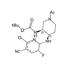 CC(=O)N1CC[C@@H](Nc2nc(Cl)c(C#N)cc2F)[C@@H](NC(=O)OC(C)(C)C)C1